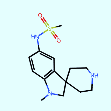 CN1CC2(CCNCC2)c2cc(NS(C)(=O)=O)ccc21